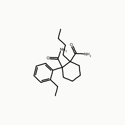 CCCCC1(C(N)=O)CCCCC1(C(N)=O)c1ccccc1CC